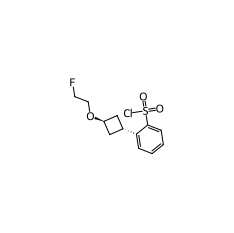 O=S(=O)(Cl)c1ccccc1[C@H]1C[C@H](OCCF)C1